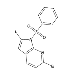 O=S(=O)(c1ccccc1)n1c(I)cc2ccc(Br)nc21